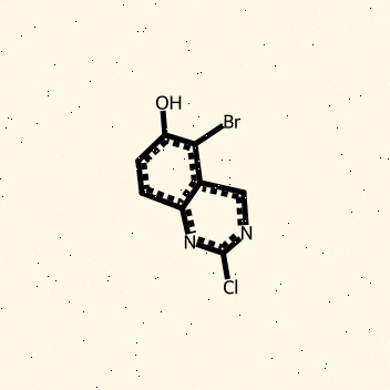 Oc1ccc2nc(Cl)ncc2c1Br